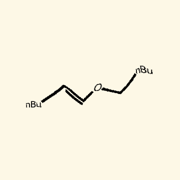 CCCCC=COCCCCC